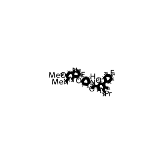 CNc1nc2c(Oc3ccc(NC(=O)c4cn(C(C)C)c(C)c(-c5ccc(F)cc5)c4=O)cc3F)ccnc2cc1OC